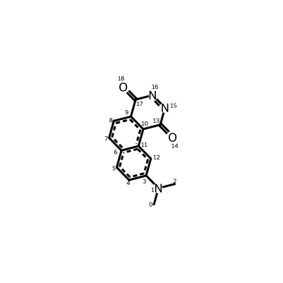 CN(C)c1ccc2ccc3c(c2c1)C(=O)N=NC3=O